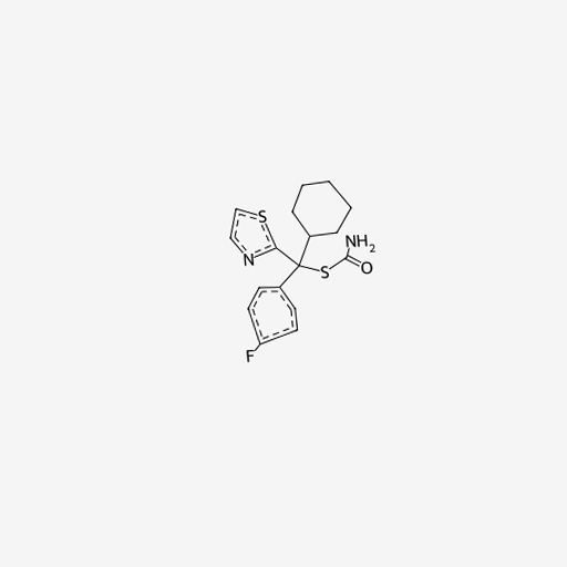 NC(=O)SC(c1ccc(F)cc1)(c1nccs1)C1CCCCC1